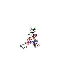 CC(C)(C)[Si](C)(C)OC1(C(NC(=O)OCc2ccccc2)C(=O)OCC(=O)c2cc(F)ccc2F)CC1